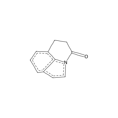 O=C1CCc2cccc3ccn1c23